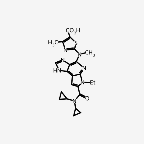 CCn1c(C(=O)N(C2CC2)C2CC2)cc2c3[nH]cnc3c(N(C)c3nc(C)c(C(=O)O)s3)nc21